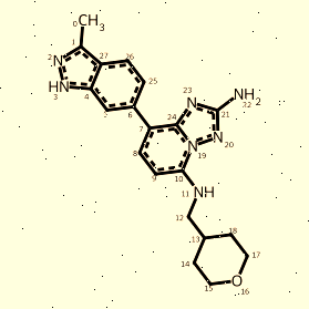 Cc1n[nH]c2cc(-c3ccc(NCC4CCOCC4)n4nc(N)nc34)ccc12